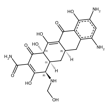 NC(=O)C1=C(O)[C@H](NCO)[C@@H]2C[C@@H]3Cc4c(N)cc(N)c(O)c4C(=O)C3=C(O)[C@]2(O)C1=O